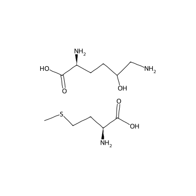 CSCC[C@H](N)C(=O)O.NCC(O)CC[C@H](N)C(=O)O